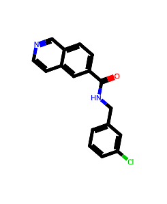 O=C(NCc1cccc(Cl)c1)c1ccc2cnccc2c1